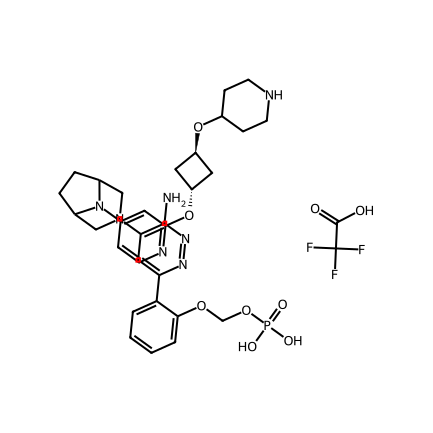 Nc1nnc(-c2ccccc2OCOP(=O)(O)O)cc1N1CC2CCC(C1)N2c1ccnc(O[C@H]2C[C@H](OC3CCNCC3)C2)c1.O=C(O)C(F)(F)F